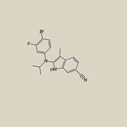 Cc1c(N(c2ccc(Br)c(F)c2)C(C)C)[nH]c2cc(C#N)ccc12